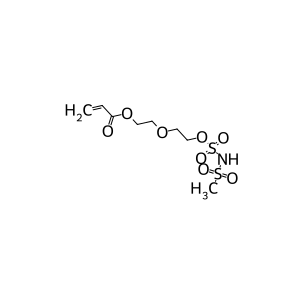 C=CC(=O)OCCOCCOS(=O)(=O)NS(C)(=O)=O